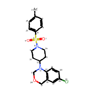 CC(=O)c1ccc(S(=O)(=O)N2CCC(N3COCc4cc(Cl)ccc43)CC2)cc1